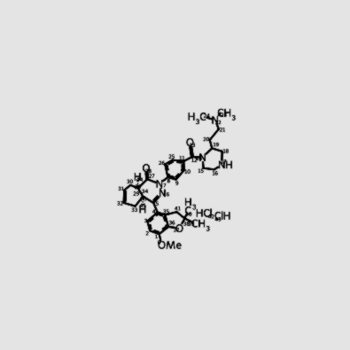 COc1ccc(C2=NN(c3ccc(C(=O)N4CCNCC4CCN(C)C)cc3)C(=O)[C@@H]3CC=CC[C@H]23)c2c1OC(C)(C)C2.Cl.Cl